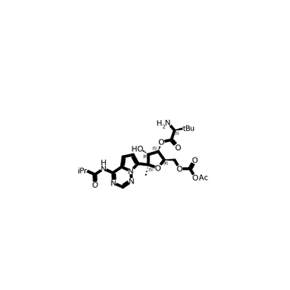 CC(=O)OC(=O)OC[C@H]1O[C@@](C)(c2ccc3c(NC(=O)C(C)C)ncnn23)[C@H](O)[C@@H]1OC(=O)[C@@H](N)C(C)(C)C